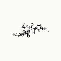 NC1CCN(NC(=O)C2CC3(CC3)C3CN2C(=O)N3OS(=O)(=O)O)C1